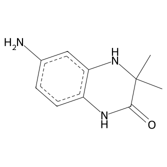 CC1(C)Nc2cc(N)ccc2NC1=O